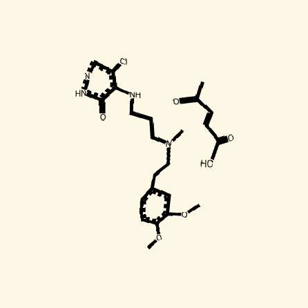 CC(=O)/C=C/C(=O)O.COc1ccc(CCN(C)CCCNc2c(Cl)cn[nH]c2=O)cc1OC